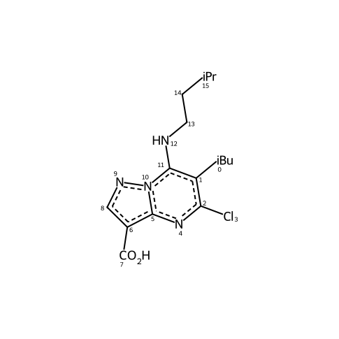 CCC(C)c1c(Cl)nc2c(C(=O)O)cnn2c1NCCC(C)C